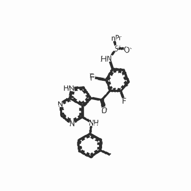 CCC[S+]([O-])Nc1ccc(F)c(C(=O)c2c[nH]c3ncnc(Nc4cccc(C)c4)c23)c1F